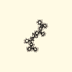 c1ccc(N(c2ccc(-c3nc4ccc(N(c5ccccc5)c5ccc6c(c5)c5ccccc5n6-c5ccccc5)cc4o3)cc2)c2ccc3c(c2)c2ccccc2n3-c2ccccc2)cc1